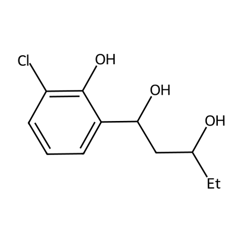 CCC(O)CC(O)c1cccc(Cl)c1O